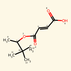 CC(OC(=O)/C=C/C(=O)O)C(C)(C)C